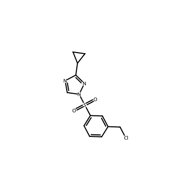 O=S(=O)(c1cccc(CCl)c1)n1cnc(C2CC2)n1